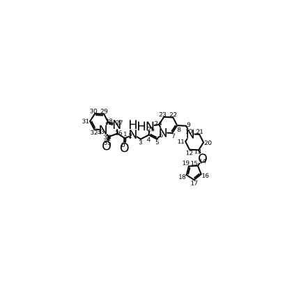 O=C(NCC1=CN2C=C(CN3CCC(OC4C=CC=C4)CC3)CCC2N1)C1N=C2C=CC=CN2C1=O